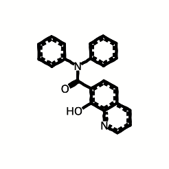 O=C(c1ccc2cccnc2c1O)N(c1ccccc1)c1ccccc1